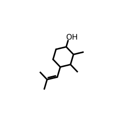 CC(C)=CC1CCC(O)C(C)C1C